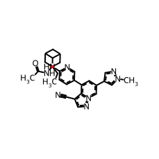 CCC1(NC(C)=O)CC2CC(C1)C2Nc1ccc(-c2cc(-c3cnn(C)c3)cn3ncc(C#N)c23)cn1